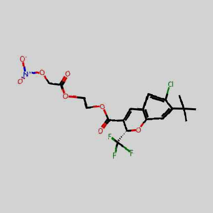 CC(C)(C)c1cc2c(cc1Cl)C=C(C(=O)OCCOC(=O)CO[N+](=O)[O-])[C@@H](C(F)(F)F)O2